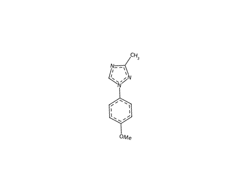 COc1ccc(-n2cnc(C)n2)cc1